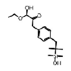 CCOC(O)C(=O)Cc1ccc(CC(C)(C)[Si](C)(C)O)cc1